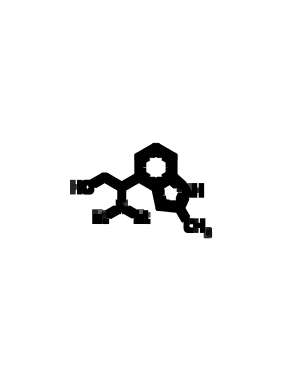 CCN(CC)C(CO)c1cccc2[nH]c(C)cc12